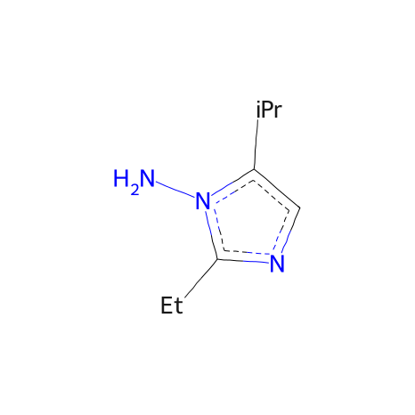 CCc1ncc(C(C)C)n1N